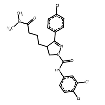 CN(C)C(=O)CCCC1CN(C(=O)Nc2ccc(Cl)c(Cl)c2)N=C1c1ccc(Cl)cc1